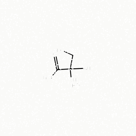 CCC(C)(N)C(N)=O.Cl